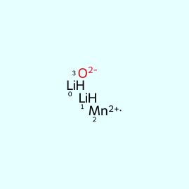 [LiH].[LiH].[Mn+2].[O-2]